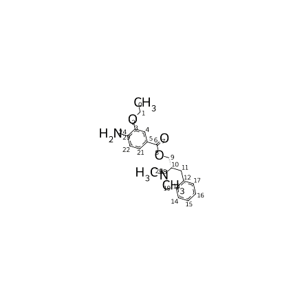 CCOc1cc(C(=O)OC[C@H](Cc2ccccc2)N(C)C)ccc1N